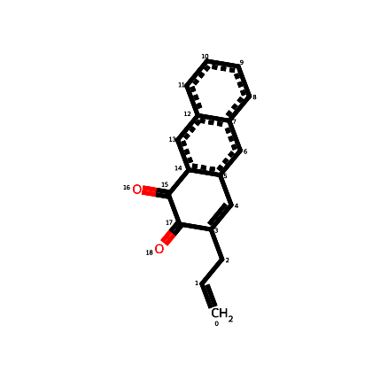 C=CCC1=Cc2cc3ccccc3cc2C(=O)C1=O